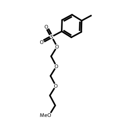 COCCOCOCOS(=O)(=O)c1ccc(C)cc1